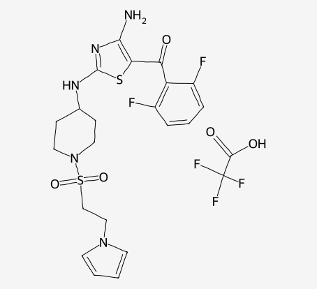 Nc1nc(NC2CCN(S(=O)(=O)CCn3cccc3)CC2)sc1C(=O)c1c(F)cccc1F.O=C(O)C(F)(F)F